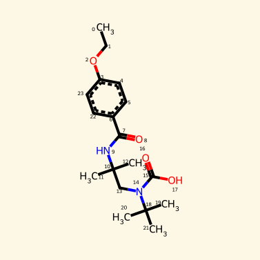 CCOc1ccc(C(=O)NC(C)(C)CN(C(=O)O)C(C)(C)C)cc1